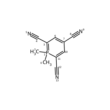 CP1(C)=C(C#N)C=C(C#N)C=C1C#N